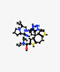 C=C(CN[C@H](C)CC1(c2nn[nH]n2)c2ccsc2CCc2sc(C(=O)N(C)C)cc21)N1CCCC1C#N